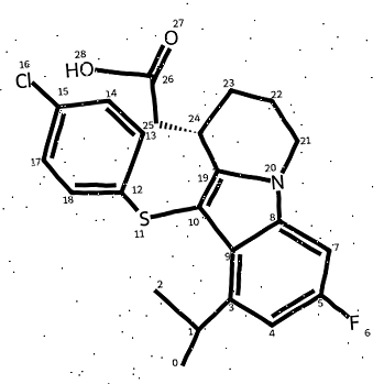 CC(C)c1cc(F)cc2c1c(Sc1ccc(Cl)cc1)c1n2CCC[C@H]1CC(=O)O